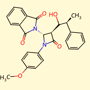 COc1ccc(N2C(=O)[C@H](C(O)[C@@H](C)c3ccccc3)[C@H]2N2C(=O)c3ccccc3C2=O)cc1